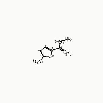 C=C(NC(C)C)C1=CCC(N)S1